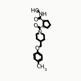 Cc1ccc(OCC2CCN(C(=O)[C@H]3CCC[C@@H]3C(=O)NO)CC2)cc1